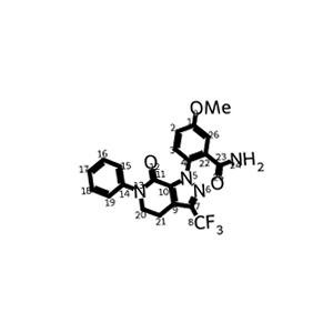 COc1ccc(-n2nc(C(F)(F)F)c3c2C(=O)N(c2ccccc2)CC3)c(C(N)=O)c1